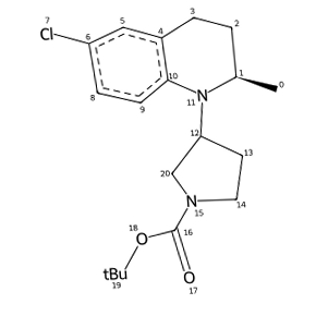 C[C@@H]1CCc2cc(Cl)ccc2N1C1CCN(C(=O)OC(C)(C)C)C1